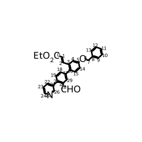 CCOC(=O)/C=C/c1cc(OCc2ccccc2)ccc1-c1ccc(-c2cccnc2)c(C=O)c1